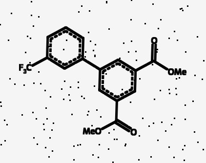 COC(=O)c1cc(C(=O)OC)cc(-c2cccc(C(F)(F)F)c2)c1